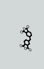 O=C1OC(=O)C2CC(CC3CCC4C(=O)OC(=O)C4C3)CCC12